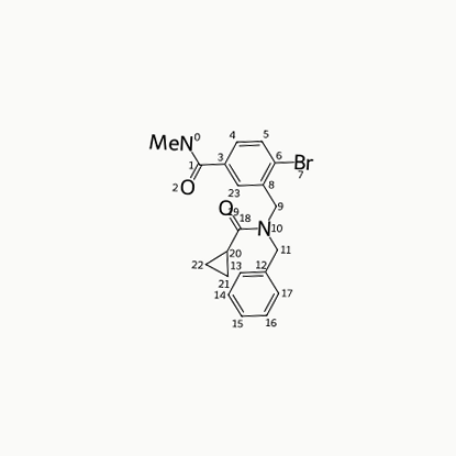 CNC(=O)c1ccc(Br)c(CN(Cc2ccccc2)C(=O)C2CC2)c1